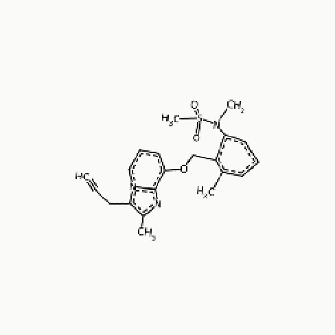 C#CCc1c(C)nc2c(OCc3c(C)cccc3N(C)S(C)(=O)=O)cccn12